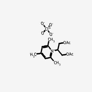 CC(=O)OCC(COC(C)=O)[n+]1c(C)cc(C)cc1C.[O-][Cl+3]([O-])([O-])[O-]